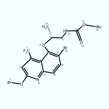 CC(C)Oc1cc(C(F)(F)F)c2c(O[C@H](C)CNC(=O)OC(C)(C)C)c(Br)ccc2n1